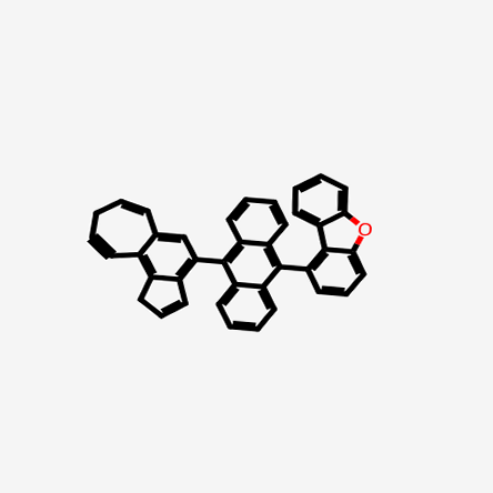 C1#Cc2c(cc(-c3c4ccccc4c(-c4cccc5oc6ccccc6c45)c4ccccc34)c3c2CC=C3)C=CC1